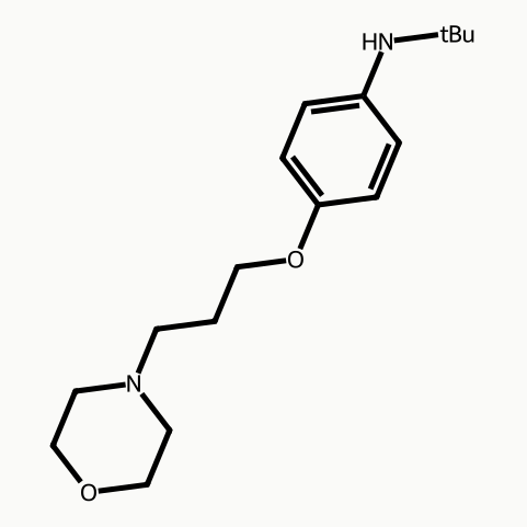 CC(C)(C)Nc1ccc(OCCCN2CCOCC2)cc1